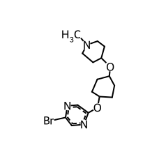 CN1CCC(OC2CCC(Oc3cnc(Br)cn3)CC2)CC1